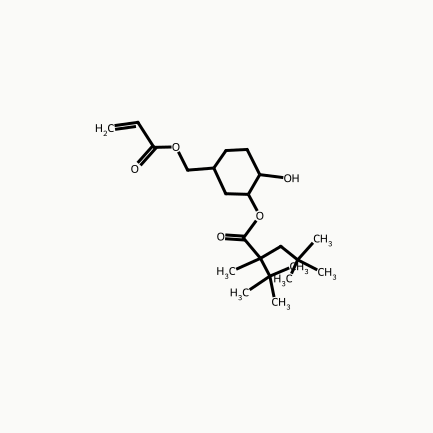 C=CC(=O)OCC1CCC(O)C(OC(=O)C(C)(CC(C)(C)C)C(C)(C)C)C1